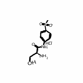 CS(=O)(=O)c1ccc(NC(=O)[C@@H](N)CO)cc1.Cl